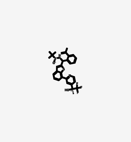 C=C(C)c1ccccc1C(N[S+]([O-])C(C)(C)C)c1cc2cccc(-c3cc([C@](C)(O)C(F)(F)F)ccn3)c2s1